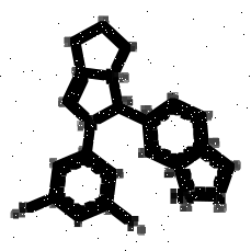 Fc1cc(F)cc(N2C=C3CCCN3C2c2ccc3cn[nH]c3c2)c1